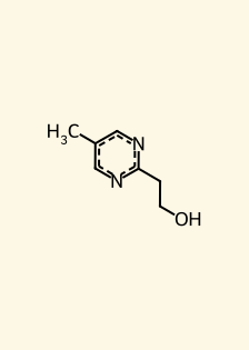 Cc1cnc(CCO)nc1